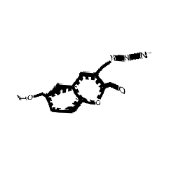 [N-]=[N+]=Nc1cc2cc(O)ccc2oc1=O